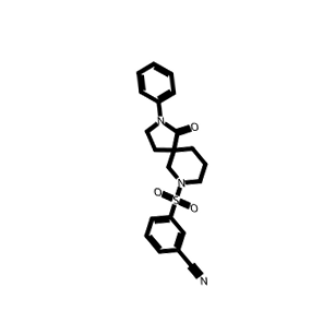 N#Cc1cccc(S(=O)(=O)N2CCCC3(CCN(c4ccccc4)C3=O)C2)c1